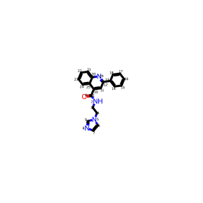 O=C(NCCn1ccnc1)c1cc(-c2ccccc2)nc2ccccc12